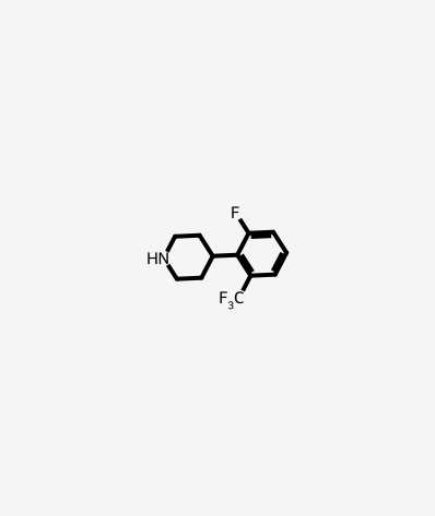 Fc1cccc(C(F)(F)F)c1C1CCNCC1